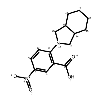 O=C(O)c1cc([N+](=O)[O-])ccc1N1CC2CCCCC2C1